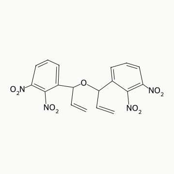 C=CC(OC(C=C)c1cccc([N+](=O)[O-])c1[N+](=O)[O-])c1cccc([N+](=O)[O-])c1[N+](=O)[O-]